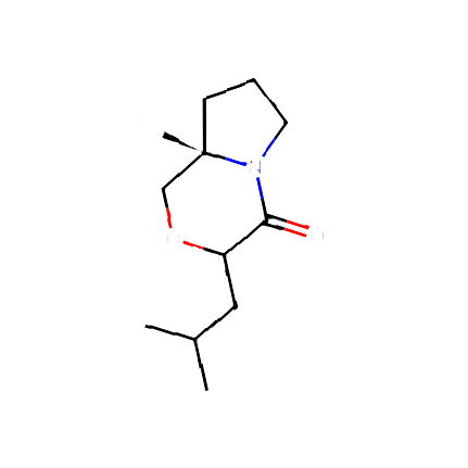 CC(C)CC1OC[C@@H]2CCCN2C1=O